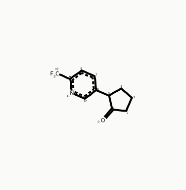 O=C1CCCC1c1ccc(C(F)(F)F)nc1